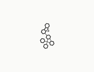 c1ccc(C2(c3ccccc3)c3ccccc3-c3ccc(-c4cccc5c4sc4ccccc45)cc32)cc1